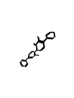 Cc1cc(-c2ccccc2)ccc1-c1ccc(-c2ccccc2)c(C)c1C